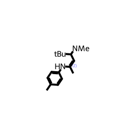 CNC(/C=C(/C)Nc1ccc(C)cc1)C(C)(C)C